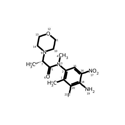 Cc1c(N(C)C(=O)[C@H](C)N2CCOCC2)cc([N+](=O)[O-])c(N)c1F